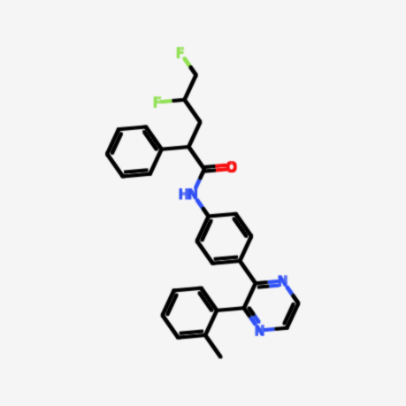 Cc1ccccc1-c1nccnc1-c1ccc(NC(=O)C(CC(F)CF)c2ccccc2)cc1